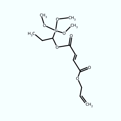 C=CCOC(=O)C=CC(=O)OC(CC)[Si](OC)(OC)OC